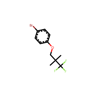 CC(C)(COc1ccc(Br)cc1)C(F)(F)F